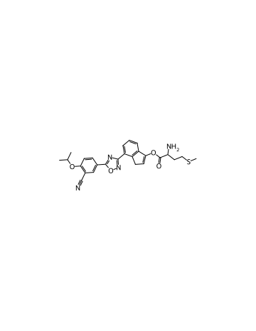 CSCCC(N)C(=O)OC1=CCc2c1cccc2-c1noc(-c2ccc(OC(C)C)c(C#N)c2)n1